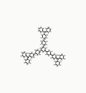 c1ccc(N(c2ccccc2)c2ccc(-c3ccc(-c4cc(-c5ccc(-c6ccc(N(c7ccccc7)c7ccccc7)cc6)cc5)cc(-c5ccc(-c6ccc(N(c7ccccc7)c7ccccc7)cc6)cc5)c4)cc3)cc2)cc1